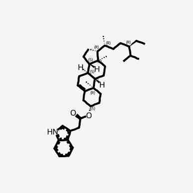 CC[C@H](CC[C@@H](C)[C@H]1CC[C@H]2[C@@H]3CC=C4C[C@@H](OC(=O)Cc5c[nH]c6ccccc56)CC[C@]4(C)[C@H]3CC[C@]12C)C(C)C